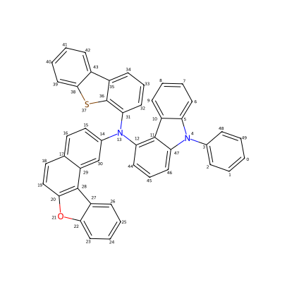 c1ccc(-n2c3ccccc3c3c(N(c4ccc5ccc6oc7ccccc7c6c5c4)c4cccc5c4sc4ccccc45)cccc32)cc1